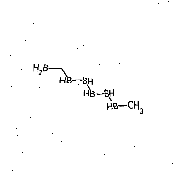 BCBBBBBC